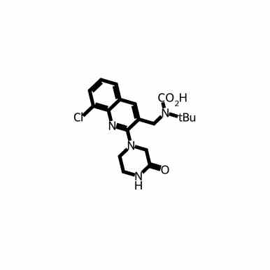 CC(C)(C)N(Cc1cc2cccc(Cl)c2nc1N1CCNC(=O)C1)C(=O)O